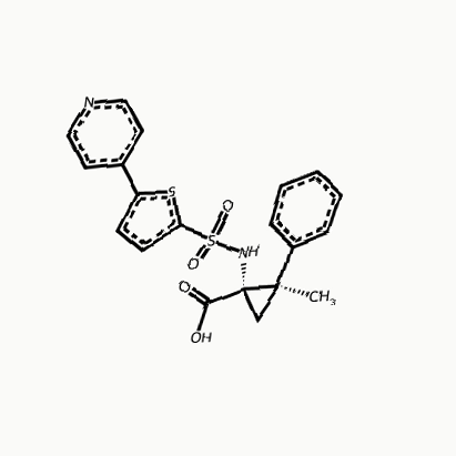 C[C@]1(c2ccccc2)C[C@@]1(NS(=O)(=O)c1ccc(-c2ccncc2)s1)C(=O)O